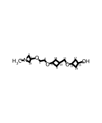 CN1CC(OCCOC2CC(COC3CC(O)C3)C2)C1